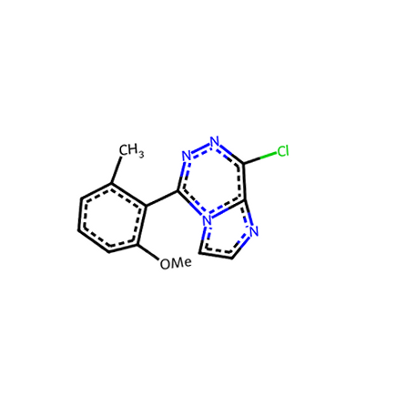 COc1cccc(C)c1-c1nnc(Cl)c2nccn12